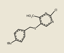 CC(C)(C)c1ccc(CSc2cnc(Cl)nc2C(=O)O)cc1